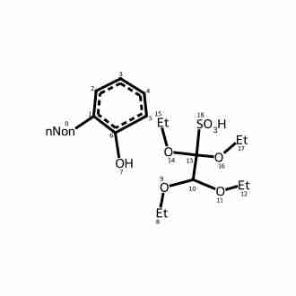 CCCCCCCCCc1ccccc1O.CCOC(OCC)C(OCC)(OCC)S(=O)(=O)O